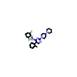 Cc1ccccc1-c1cnc(N2CCC(N3CCCCC3)CC2)nc1NCc1c(F)cccc1F